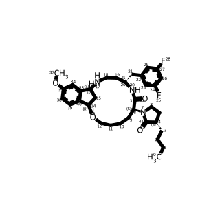 CCCC[C@H]1CCN([C@H]2CCCCO[C@@H]3C[C@H](NCC[C@H](Cc4cc(F)cc(F)c4)NC2=O)c2cc(OC)ccc23)C1=O